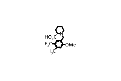 COc1cc(C)c(C(F)(F)F)cc1CN1CCCC[C@H]1C(=O)O